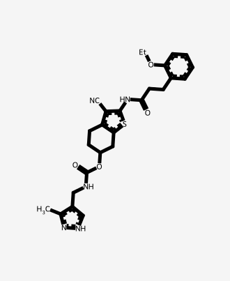 CCOc1ccccc1CCC(=O)Nc1sc2c(c1C#N)CCC(OC(=O)NCc1c[nH]nc1C)C2